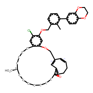 Cc1c(COc2cc3c(cc2Cl)CCCC[C@H](C(=O)O)CCCCCCCC(=O)C2=C\CC\C=C/C(=C\2)CO3)cccc1-c1ccc2c(c1)OCCO2